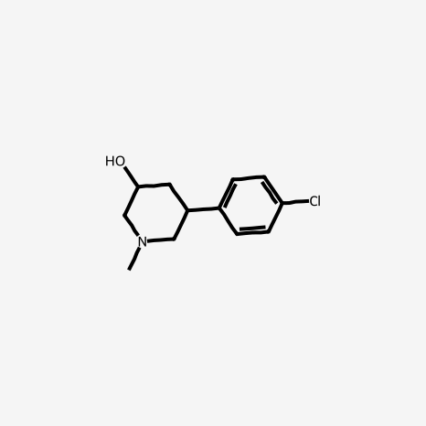 CN1CC(O)CC(c2ccc(Cl)cc2)C1